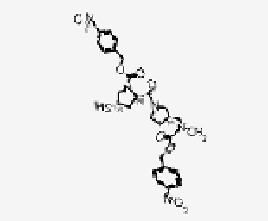 CN(C[C@H]1CCN(C(=O)[C@@H]2C[C@H](S)CN2C(=O)OCc2ccc([N+](=O)[O-])cc2)C1)C(=O)OCc1ccc([N+](=O)[O-])cc1